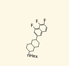 CCCCCCC1CCC2CC(c3cc(F)c4c(F)c(F)ccc4c3)CCC2C1